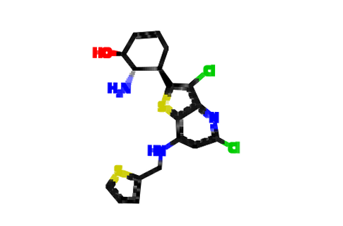 N[C@@H]1[C@@H](O)C=CC[C@H]1c1sc2c(NCc3cccs3)cc(Cl)nc2c1Cl